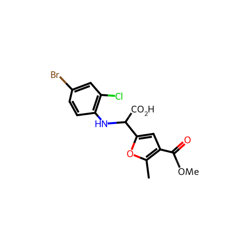 COC(=O)c1cc(C(Nc2ccc(Br)cc2Cl)C(=O)O)oc1C